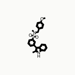 COc1ccc(CN(C)S(=O)(=O)c2cccc(-c3c(C)[nH]c4ccccc34)c2)cc1